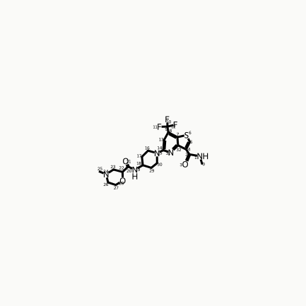 CNC(=O)c1csc2c(C(F)(F)F)cc(N3CCC(NC(=O)C4CN(C)CCO4)CC3)nc12